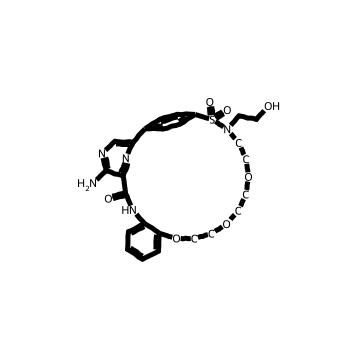 Nc1ncc2nc1C(=O)Nc1ccccc1OCCOCCOCCN(CCO)S(=O)(=O)c1ccc-2cc1